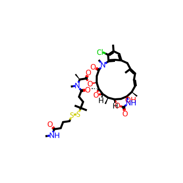 CNC(=O)CCCSSC(C)(C)CCC(=O)N(C)[C@@H](C)C(=O)O[C@H]1CC(=O)N(C)c2cc(cc(C)c2Cl)C/C(C)=C/C=C/[C@@H](C)[C@@]2(O)C[C@H](OC(=O)N2)[C@@H](C)[C@@H]2O[C@@]12C